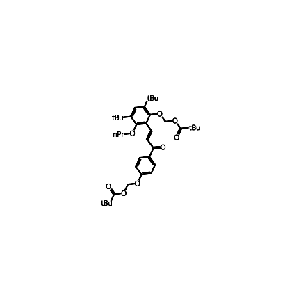 CCCOc1c(C(C)(C)C)cc(C(C)(C)C)c(OCOC(=O)C(C)(C)C)c1C=CC(=O)c1ccc(OCOC(=O)C(C)(C)C)cc1